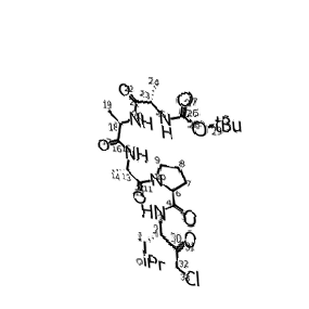 CC(C)C[C@H](NC(=O)[C@@H]1CCCN1C(=O)[C@H](C)NC(=O)[C@@H](C)NC(=O)[C@H](C)NC(=O)OC(C)(C)C)C(=O)CCl